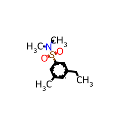 CCc1[c]c(C)cc(S(=O)(=O)N(C)C)c1